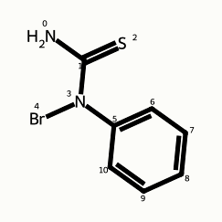 NC(=S)N(Br)c1ccccc1